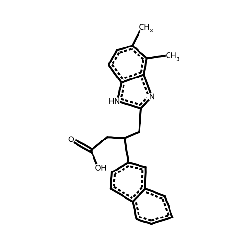 Cc1ccc2[nH]c(CC(CC(=O)O)c3ccc4ccccc4c3)nc2c1C